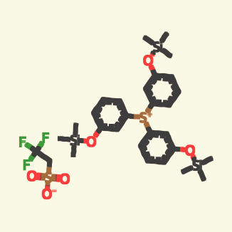 C[Si](C)(C)Oc1cccc([S+](c2cccc(O[Si](C)(C)C)c2)c2cccc(O[Si](C)(C)C)c2)c1.O=S(=O)([O-])CC(F)(F)F